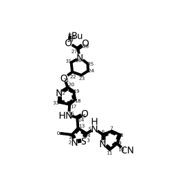 Cc1nsc(Nc2ccc(C#N)cn2)c1C(=O)Nc1ccc(OC2CCCN(C(=O)OC(C)(C)C)C2)nc1